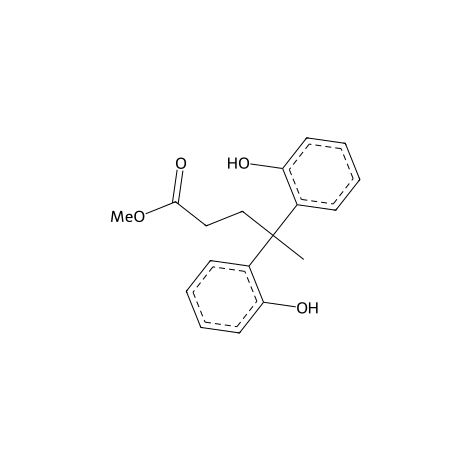 COC(=O)CCC(C)(c1ccccc1O)c1ccccc1O